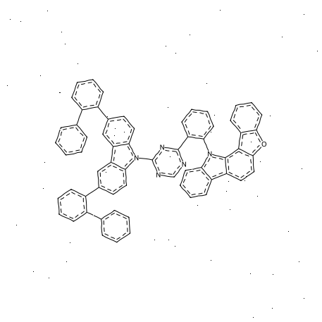 c1ccc(-c2ccccc2-c2ccc3c(c2)c2cc(-c4ccccc4-c4ccccc4)ccc2n3-c2ncnc(-c3ccccc3-n3c4ccccc4c4ccc5oc6ccccc6c5c43)n2)cc1